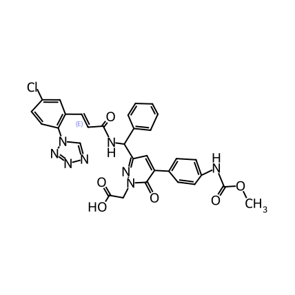 COC(=O)Nc1ccc(-c2cc(C(NC(=O)/C=C/c3cc(Cl)ccc3-n3cnnn3)c3ccccc3)nn(CC(=O)O)c2=O)cc1